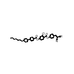 CCCCCCCc1ccc(-c2ccc(C(=O)Oc3ccc(C(=O)Oc4ccc(C=C(C#N)C#N)cc4)c(Cl)c3)cc2)cc1